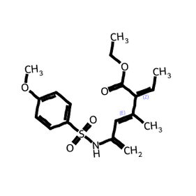 C=C(/C=C(C)/C(=C/C)C(=O)OCC)NS(=O)(=O)c1ccc(OC)cc1